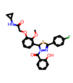 COc1c(OCC(=O)NC2CC2)cccc1C1SC(c2ccc(F)cc2)=NN1C(=O)c1ccccc1O